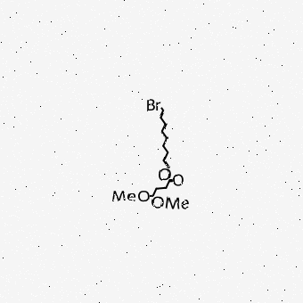 COC(CCC(=O)OCCCCCCCCCBr)OC